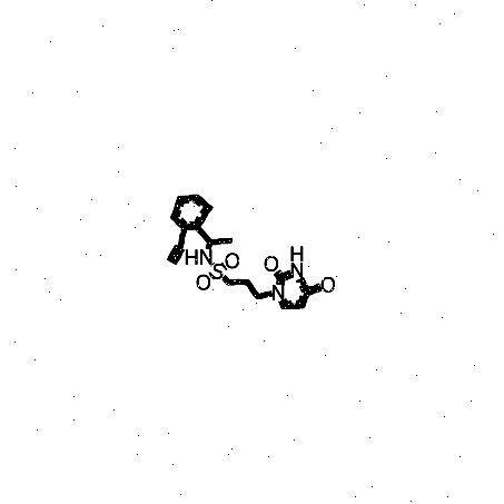 C#Cc1ccccc1C(C)NS(=O)(=O)CCCn1ccc(=O)[nH]c1=O